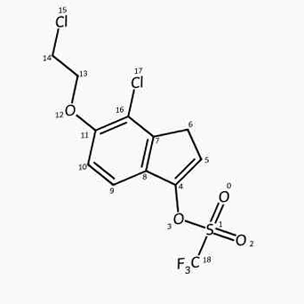 O=S(=O)(OC1=CCc2c1ccc(OCCCl)c2Cl)C(F)(F)F